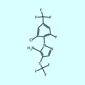 Nc1c(SC(F)(F)F)cnn1-c1c(F)cc(C(F)(F)F)cc1Cl